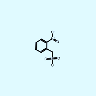 [O]S(=O)(=O)Cc1ccccc1[N+](=O)[O-]